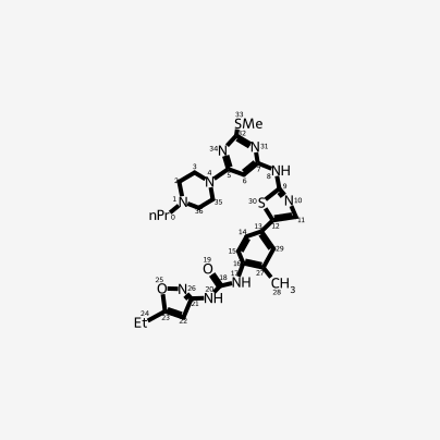 CCCN1CCN(c2cc(Nc3ncc(-c4ccc(NC(=O)Nc5cc(CC)on5)c(C)c4)s3)nc(SC)n2)CC1